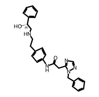 O=C(Cc1ncnn1Cc1ccccc1)Nc1ccc(CCNC[C@H](O)c2ccccc2)cc1